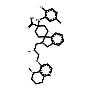 C[C@@H](COc1ccnc2c1[C@H](C)CCC2)CC1Cc2ccccc2C12CCC(Nc1cc(Cl)ccc1F)(C(=O)O)CC2